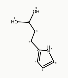 OC(O)CCc1ccc[nH]1